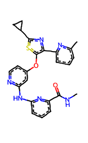 CNC(=O)c1cccc(Nc2cc(Oc3sc(C4CC4)nc3-c3cccc(C)n3)ccn2)n1